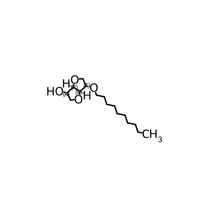 CCCCCCCCCCO[C@H]1CO[C@H]2[C@@H]1OC[C@H]2O